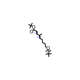 CC(/C=C/C(=O)OC(C)(C)C)=C\CCCCO[Si](C)(C)C(C)(C)C